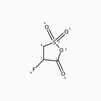 O=C1OS(=O)(=O)CC1F